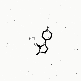 CN1CCN(C2CCNCC2)C1=O.Cl